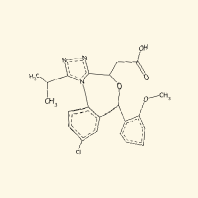 COc1ccccc1C1OC(CC(=O)O)c2nnc(C(C)C)n2-c2ccc(Cl)cc21